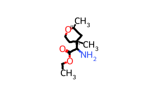 CCOC(=O)C(N)[C@]1(C)CCO[C@@H](C)C1